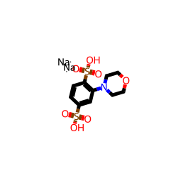 O=S(=O)(O)c1ccc(S(=O)(=O)O)c(N2CCOCC2)c1.[Na].[Na]